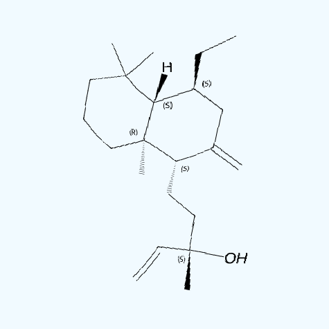 C=C[C@@](C)(O)CC[C@H]1C(=C)C[C@H](CC)[C@H]2C(C)(C)CCC[C@]12C